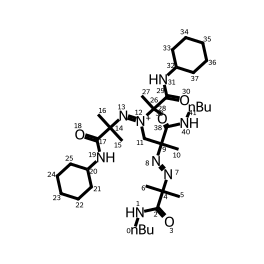 CCCCNC(=O)C(C)(C)N=NC(C)(C[N+](=NC(C)(C)C(=O)NC1CCCCC1)C(C)(C)C(=O)NC1CCCCC1)C(=O)NCCCC